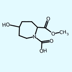 COC(=O)C1CCC(O)CCN1C(=O)O